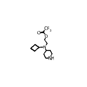 O=C(OCCN(C1CCC1)C1CCNCC1)C(F)(F)F